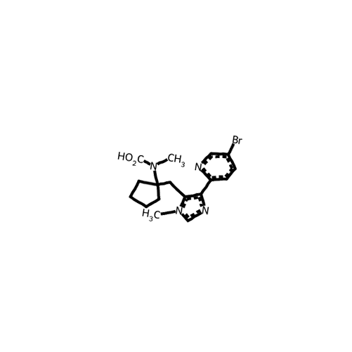 CN(C(=O)O)C1(Cc2c(-c3ccc(Br)cn3)ncn2C)CCCC1